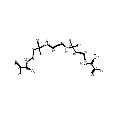 C=C(C)C(=O)SCCC(C)(C)OCCOC(C)(F)CCSC(=O)C(=C)C